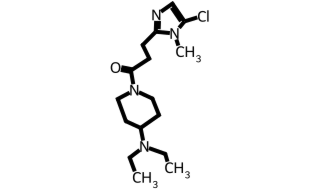 CCN(CC)C1CCN(C(=O)CCc2ncc(Cl)n2C)CC1